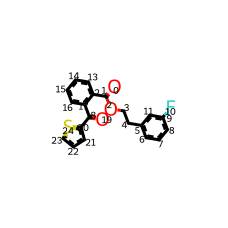 O=C(OCCc1cccc(F)c1)c1ccccc1C(=O)c1cccs1